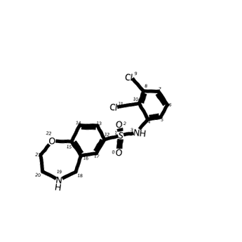 O=S(=O)(Nc1cccc(Cl)c1Cl)c1ccc2c(c1)CNCCO2